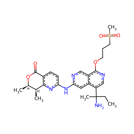 CCC(C)(N)c1cnc(OCCCS(C)(=O)=O)c2cnc(Nc3ccc4c(n3)[C@@H](C)[C@@H](C)OC4=O)cc12